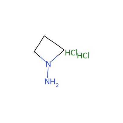 Cl.Cl.NN1CCC1